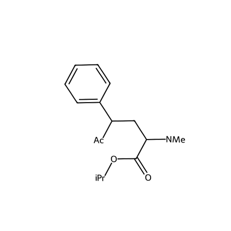 CNC(CC(C(C)=O)c1ccccc1)C(=O)OC(C)C